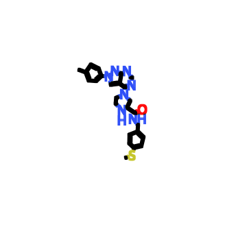 CSc1ccc(CNC(=O)C2CN(c3ncnc4nn(-c5ccc(C)cc5)cc34)CCN2)cc1